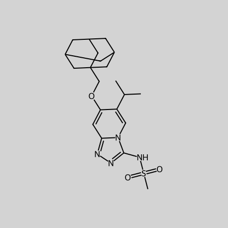 CC(C)c1cn2c(NS(C)(=O)=O)nnc2cc1OCC12CC3CC(CC(C3)C1)C2